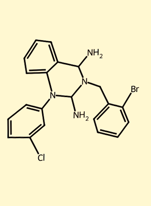 NC1c2ccccc2N(c2cccc(Cl)c2)C(N)N1Cc1ccccc1Br